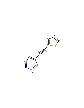 C(#Cc1cccs1)c1cccnc1